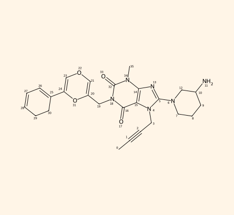 CC#CCn1c(N2CCCC(N)C2)nc2c1c(=O)n(CC1=COC=C(C3=CC=CCC3)O1)c(=O)n2C